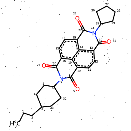 CCCC1CCC(N2C(=O)c3ccc4c5c(ccc(c35)C2=O)C(=O)N(C2CCCC2)C4=O)CC1